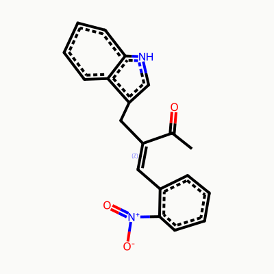 CC(=O)/C(=C\c1ccccc1[N+](=O)[O-])Cc1c[nH]c2ccccc12